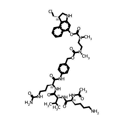 CC(=O)N[C@@H](CCCCN)C(=O)N[C@H](C(=O)N[C@@H](CCCNC(N)=O)C(=O)Nc1ccc(COC(=O)N(C)CCN(C)C(=O)Oc2cc3c(c4ccccc24)[C@H](CCl)CN3)cc1)C(C)C